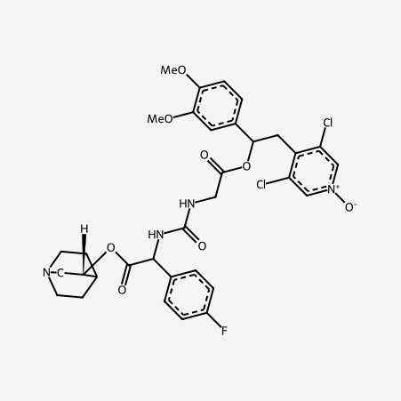 COc1ccc(C(Cc2c(Cl)c[n+]([O-])cc2Cl)OC(=O)CNC(=O)NC(C(=O)O[C@H]2CN3CCC2CC3)c2ccc(F)cc2)cc1OC